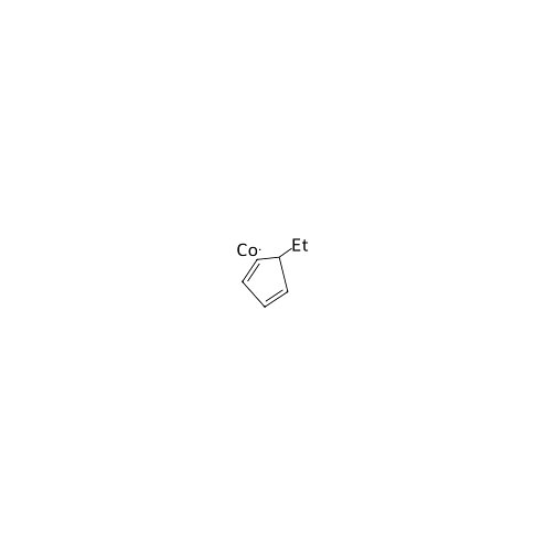 [CH2]CC1C=CC=C1.[Co]